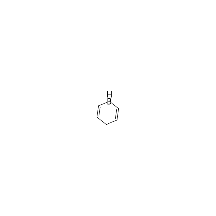 B1C=CCC=C1